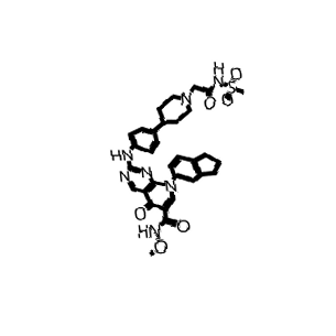 CONC(=O)c1cn(-c2ccc3c(c2)CCC3)c2nc(Nc3ccc(C4CCN(CC(=O)NS(C)(=O)=O)CC4)cc3)ncc2c1=O